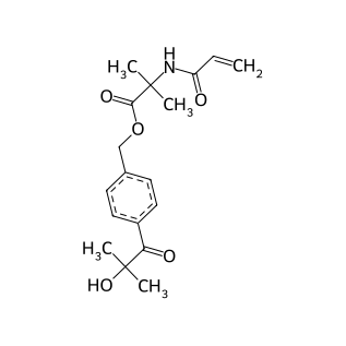 C=CC(=O)NC(C)(C)C(=O)OCc1ccc(C(=O)C(C)(C)O)cc1